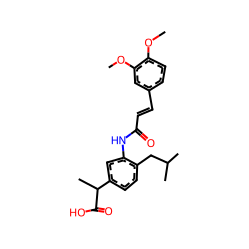 COc1ccc(C=CC(=O)Nc2cc(C(C)C(=O)O)ccc2CC(C)C)cc1OC